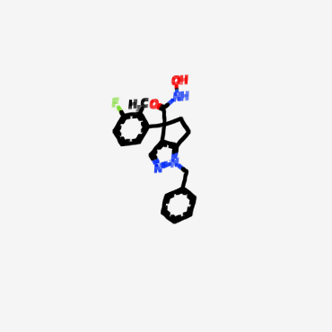 Cc1c(F)cccc1C1(C(=O)NO)CCc2c1cnn2Cc1ccccc1